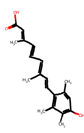 CC(/C=C/c1c(C)cc(O)c(C)c1C)=C\C=C\C(C)=C\C(=O)O